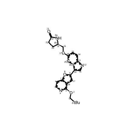 CC(C)(C)COc1nccc2oc(-c3cnc4ccc(OC[C@H]5CCC(=O)N5)nn34)cc12